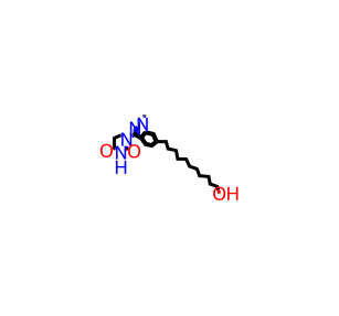 Cn1nc(N2CCC(=O)NC2=O)c2ccc(CCCCCCCCCCCO)cc21